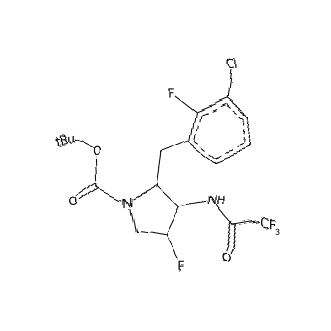 CC(C)(C)OC(=O)N1CC(F)C(NC(=O)C(F)(F)F)C1Cc1cccc(Cl)c1F